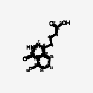 O=C(O)CCCc1n[nH]c(=O)c2c(F)cccc12